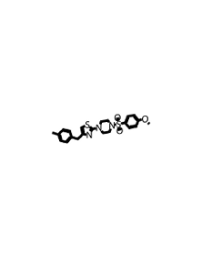 COc1ccc(S(=O)(=O)N2CCN(c3nc(Cc4ccc(C)cc4)cs3)CC2)cc1